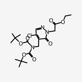 CCOC(=O)Cn1ncc(Cl)c(CN(C(=O)OC(C)(C)C)C(=O)OC(C)(C)C)c1=O